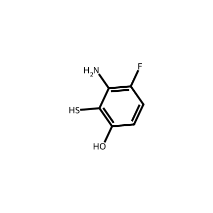 Nc1c(F)ccc(O)c1S